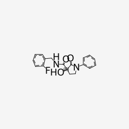 O=C(NCc1ccccc1F)[C@@]1(O)CCN(c2ccccc2)C1=O